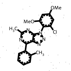 COc1cc(Cl)c(-n2nnc3c(-c4ccccc4C)nc(C)nc32)c(OC)c1